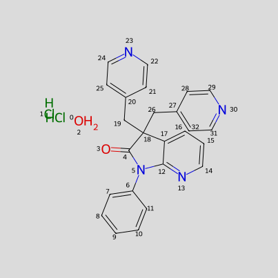 Cl.Cl.O.O=C1N(c2ccccc2)c2ncccc2C1(Cc1ccncc1)Cc1ccncc1